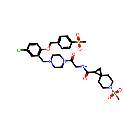 CS(=O)(=O)c1ccc(COc2ccc(Cl)cc2CN2CCN(C(=O)CNC(=O)C3CC34CCN(S(C)(=O)=O)CC4)CC2)cc1